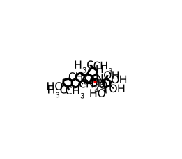 CC1(C)CC[C@@]2(C(=O)N[C@H]3OC(CO)[C@H](O)C(O)C3O)C(C1)C1=CCC3[C@@]4(C)CC[C@H](O)C(C)(C)C4CC[C@@]3(C)[C@]1(C)C[C@H]2O